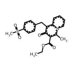 CCOC(=O)c1c(C)n2ccccc2c(Cc2ccc(S(C)(=O)=O)cc2)c1=O